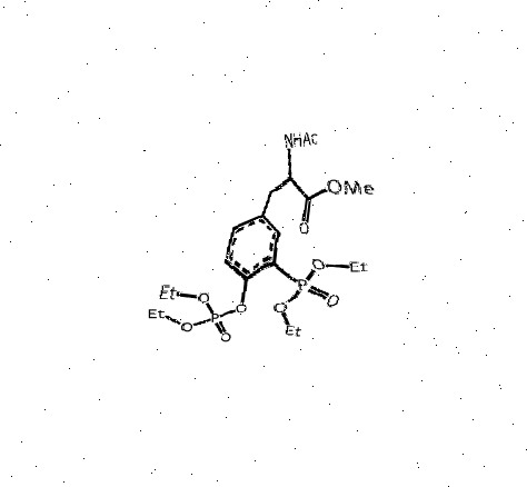 CCOP(=O)(OCC)Oc1ccc(CC(NC(C)=O)C(=O)OC)cc1P(=O)(OCC)OCC